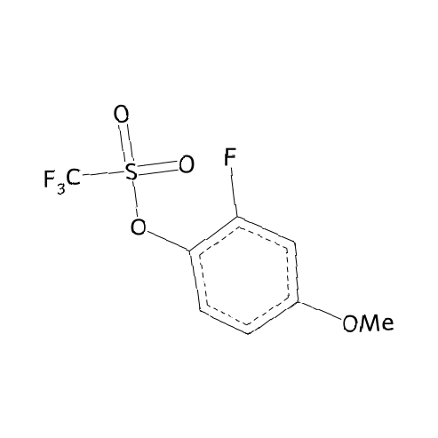 COc1ccc(OS(=O)(=O)C(F)(F)F)c(F)c1